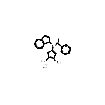 C/[C](c1ccccc1)=[Zr+2](/[C]1=CC(C(C)(C)C)=C(C(C)(C)C)C1)[CH]1C=Cc2ccccc21.[Cl-].[Cl-]